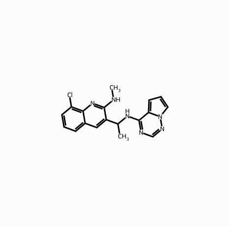 CNc1nc2c(Cl)cccc2cc1C(C)Nc1ncnn2cccc12